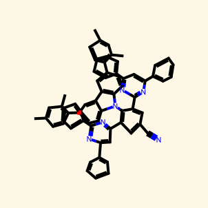 Cc1ccc(-c2ccc3c(c2)c2cc(-c4ccc(C)cc4C)ccc2n3-c2c(-c3cc(-c4ccccc4)nc(-c4ccccc4)n3)cc(C#N)cc2-c2nc(-c3ccccc3)cc(-c3ccccc3)n2)c(C)c1